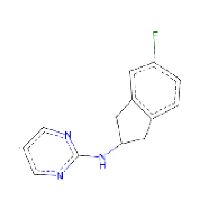 Fc1ccc2c(c1)CC(Nc1nc[c]cn1)C2